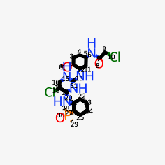 COC1CCC(NC(=O)CCl)CC1NC1NCC(Cl)C(NC2CCCCC2P(C)(C)=O)N1